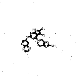 CCc1[nH]c2nc(Sc3cnc4nccnc4c3)nc(N3CCc4nc(N)sc4C3)c2c1Cl